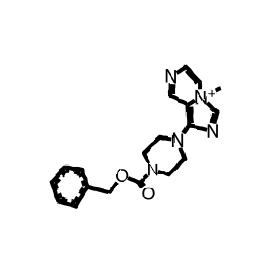 C[N+]12C=CN=CC1=C(N1CCN(C(=O)OCc3ccccc3)CC1)N=C2